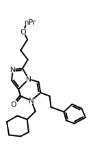 CCCOCCCc1ncc2c(=O)n(CC3CCCCC3)c(CCc3ccccc3)cn12